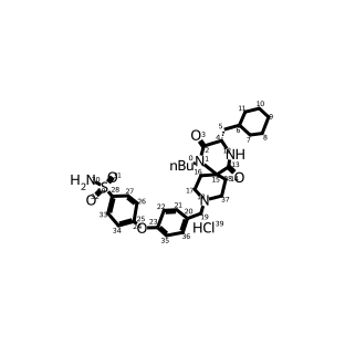 CCCCN1C(=O)[C@H](CC2CCCCC2)NC(=O)C12CCN(Cc1ccc(Oc3ccc(S(N)(=O)=O)cc3)cc1)CC2.Cl